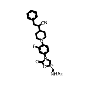 CC(=O)NC[C@H]1CN(c2ccc(N3CCC(C(C#N)Cc4ccccc4)CC3)c(F)c2)C(=O)O1